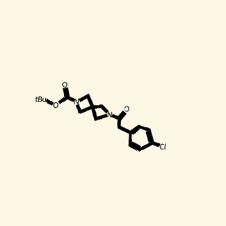 CC(C)(C)OC(=O)N1CC2(CN(C(=O)Cc3ccc(Cl)cc3)C2)C1